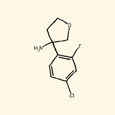 NC1(c2ccc(Cl)cc2F)CCOC1